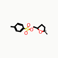 Cc1ccc(S(=O)(=O)OCC2CC[C@@H](C)O2)cc1